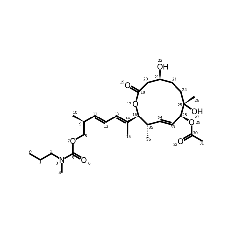 CCCN(C)C(=O)OC[C@@H](C)/C=C/C=C(\C)[C@H]1OC(=O)C[C@@H](O)CC[C@](C)(O)[C@@H](OC(C)=O)/C=C/[C@@H]1C